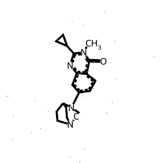 Cn1c(C2CC2)nc2cc(N3CCN4CCC3CC4)ccc2c1=O